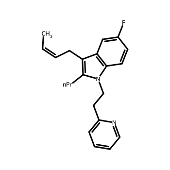 C/C=C\Cc1c(CCC)n(CCc2ccccn2)c2ccc(F)cc12